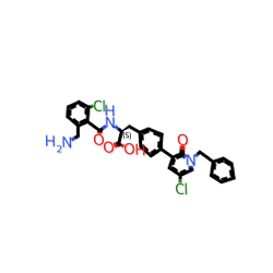 NCc1cccc(Cl)c1C(=O)N[C@@H](Cc1ccc(-c2cc(Cl)cn(Cc3ccccc3)c2=O)cc1)C(=O)O